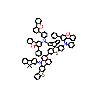 CC1(C)c2ccccc2-c2ccc(N(c3ccc(-c4ccc5c(c4)Sc4ccc(N(c6ccccc6)c6cc(-c7ccccc7)cc7oc8ccccc8c67)cc4C54c5ccccc5-c5cc(N(c6cccc(-c7cccc8c7oc7ccccc78)c6)c6cc(-c7ccccc7)c7oc8ccccc8c7c6)ccc54)cc3)c3cc4c(cc3-c3ccccc3)sc3ccccc34)cc21